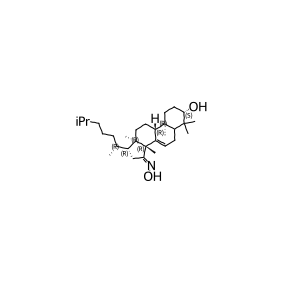 CC(C)CCC[C@@H](C)[C@H]1CC(=NO)[C@@]2(C)C3=CCC4C(C)(C)[C@@H](O)CC[C@]4(C)[C@H]3CC[C@]12C